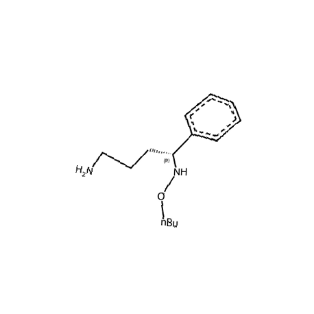 CCCCON[C@H](CCCN)c1ccccc1